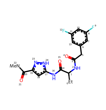 CCC(NC(=O)Cc1cc(F)cc(F)c1)C(=O)Nc1cc(C(=O)NC)n[nH]1